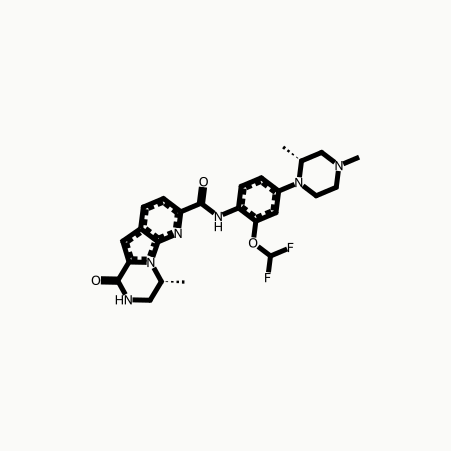 C[C@@H]1CN(C)CCN1c1ccc(NC(=O)c2ccc3cc4n(c3n2)[C@H](C)CNC4=O)c(OC(F)F)c1